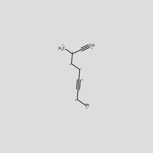 C#CC(C)CCC#CCC([CH2])C